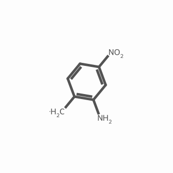 [CH2]c1ccc([N+](=O)[O-])cc1N